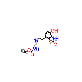 CN(CCNC(=O)OC(C)(C)C)CCc1ccc(O)c2[nH]c(=O)sc12